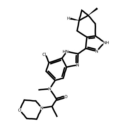 CC(C(=O)N(C)c1cc(Cl)c2[nH]c(-c3n[nH]c4c3C[C@@H]3C[C@]3(C)C4)nc2c1)N1CCOCC1